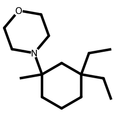 CCC1(CC)CCCC(C)(N2CCOCC2)C1